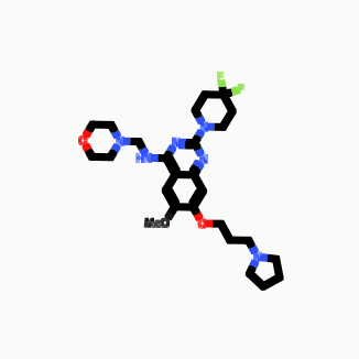 COc1cc2c(NCN3CCOCC3)nc(N3CCC(F)(F)CC3)nc2cc1OCCCN1CCCC1